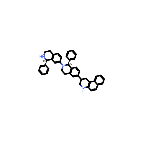 c1ccc([C@H]2NCCc3ccc(N4CCc5cc(C6CNc7ccc8ccccc8c7C6)ccc5[C@@H]4c4ccccc4)cc32)cc1